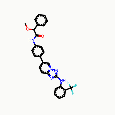 COC(C(=O)Nc1ccc(-c2ccc3nc(Nc4ccccc4C(F)(F)F)nn3c2)cc1)c1ccccc1